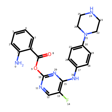 Nc1ccccc1C(=O)Oc1ncc(F)c(Nc2ccc(N3CCNCC3)cc2)n1